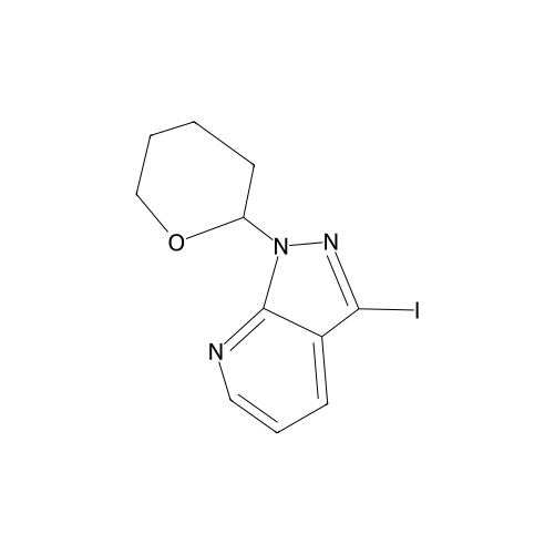 Ic1nn(C2CCCCO2)c2ncccc12